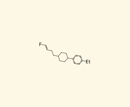 CCc1ccc(C2CCC(CCC=CF)CC2)cc1